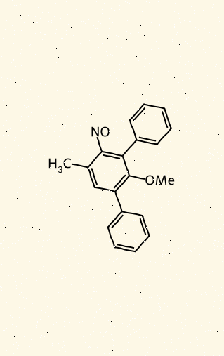 COc1c(-c2ccccc2)cc(C)c(N=O)c1-c1ccccc1